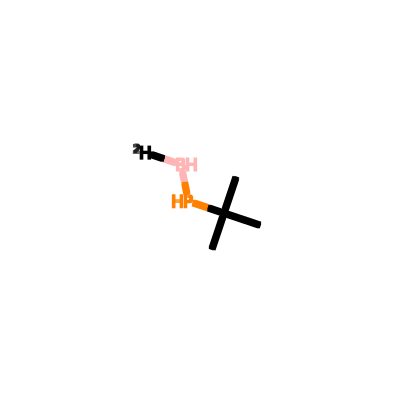 [2H]BPC(C)(C)C